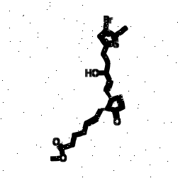 COC(=O)CCCC=CC[C@H]1C(=O)C=C[C@@H]1C=CC(O)CCc1cc(Br)c(C)s1